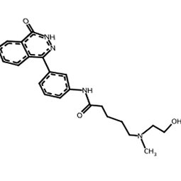 CN(CCO)CCCCC(=O)Nc1cccc(-c2n[nH]c(=O)c3ccccc23)c1